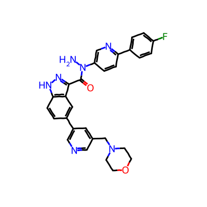 NN(C(=O)c1n[nH]c2ccc(-c3cncc(CN4CCOCC4)c3)cc12)c1ccc(-c2ccc(F)cc2)nc1